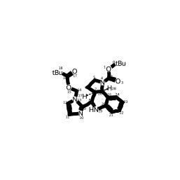 CC(C)(C)OC(=O)N1CC[C@@H]2C(c3nccn3COC(=O)C(C)(C)C)Nc3ccccc3[C@@H]21